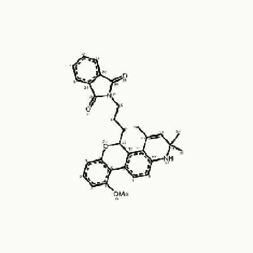 COc1cccc2c1-c1ccc3c(c1C(CCCN1C(=O)c4ccccc4C1=O)O2)C(C)=CC(C)(C)N3